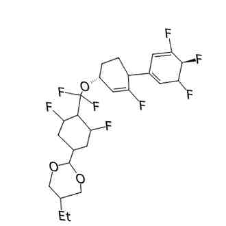 CCC1COC(C2CC(F)C(C(F)(F)O[C@H]3C=C(F)C(C4=CC(F)[C@H](F)C(F)=C4)CC3)C(F)C2)OC1